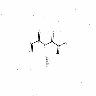 C=CC(=O)OC(=O)C(=C)C.[Zn].[Zn]